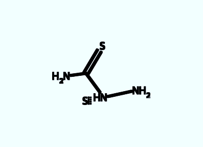 NNC(N)=S.[Si]